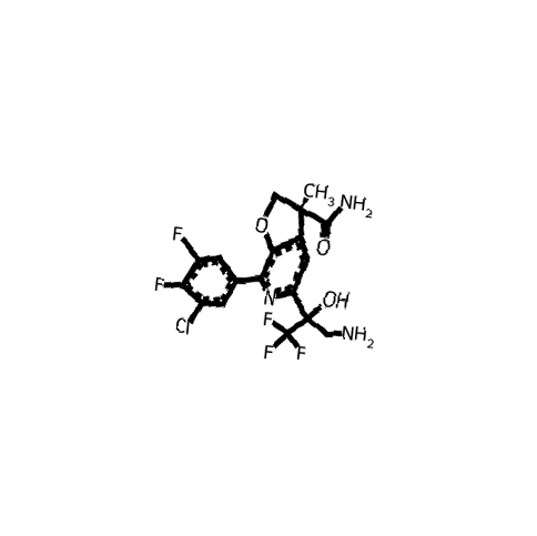 C[C@]1(C(N)=O)COc2c1cc(C(O)(CN)C(F)(F)F)nc2-c1cc(F)c(F)c(Cl)c1